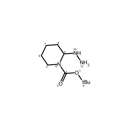 CC(C)(C)OC(=O)N1CCCCC1NN